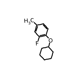 Cc1ccc(OC2CCCCC2)c(F)c1